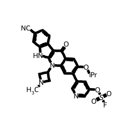 CC(C)Oc1cc2c(=O)c3c4ccc(C#N)cc4[nH]c3n(C3CN(C)C3)c2cc1-c1cncc(OS(=O)(=O)F)c1